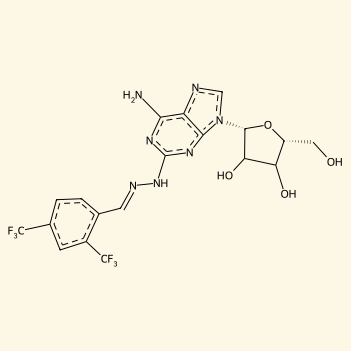 Nc1nc(N/N=C/c2ccc(C(F)(F)F)cc2C(F)(F)F)nc2c1ncn2[C@@H]1O[C@H](CO)C(O)C1O